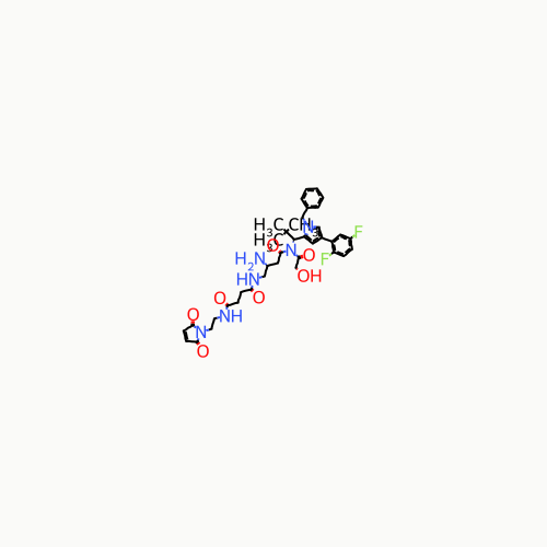 CC(C)(C)[C@H](c1cc(-c2cc(F)ccc2F)cn1Cc1ccccc1)N(C(=O)CO)C(=O)C[C@H](N)CNC(=O)CCC(=O)NCCN1C(=O)C=CC1=O